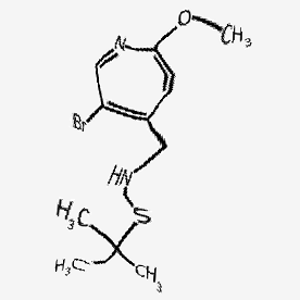 COc1cc(CNSC(C)(C)C)c(Br)cn1